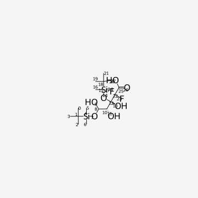 CC(C)(C)[Si](C)(C)OC(O)[C@@H](O)[C@](O)(O[Si](C)(C)C(C)(C)C)C(F)(F)C(=O)O